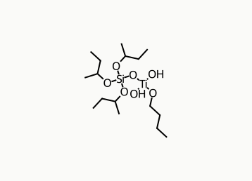 CCCC[O][Ti]([OH])([OH])[O][Si](OC(C)CC)(OC(C)CC)OC(C)CC